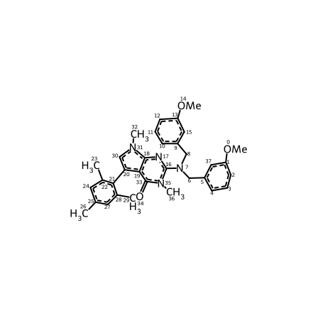 COc1cccc(CN(Cc2cccc(OC)c2)c2nc3c(c(-c4c(C)cc(C)cc4C)cn3C)c(=O)n2C)c1